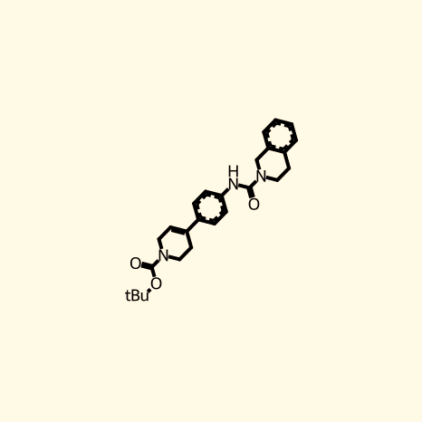 CC(C)(C)OC(=O)N1CC=C(c2ccc(NC(=O)N3CCc4ccccc4C3)cc2)CC1